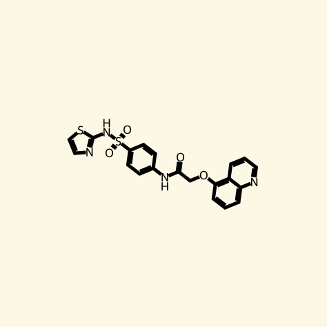 O=C(COc1cccc2ncccc12)Nc1ccc(S(=O)(=O)Nc2nccs2)cc1